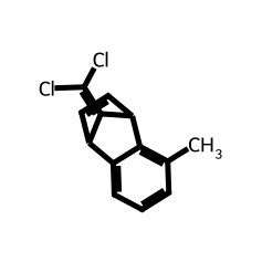 Cc1cccc2c1C1C=CC2C1=C(Cl)Cl